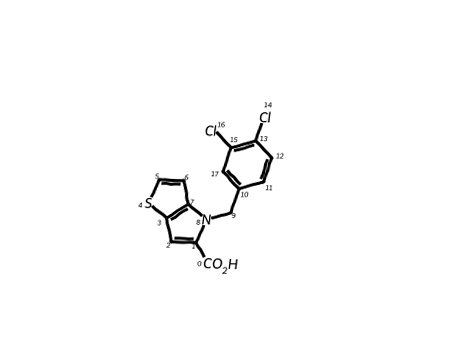 O=C(O)c1cc2sccc2n1Cc1ccc(Cl)c(Cl)c1